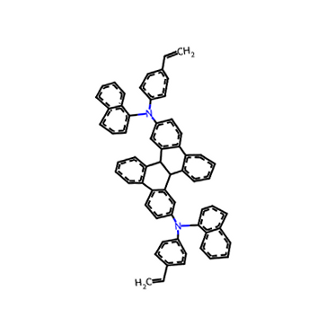 C=Cc1ccc(N(c2ccc3c(c2)C2c4ccccc4-c4ccc(N(c5ccc(C=C)cc5)c5cccc6ccccc56)cc4C2c2ccccc2-3)c2cccc3ccccc23)cc1